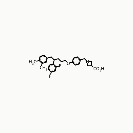 Cc1ccc(CC(CCCOc2ccc(CN3CC(C(=O)O)C3)cc2)c2ccc(F)cc2F)cc1C